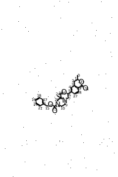 CC1Cc2cc(C3CN4CCN(C(=O)OCc5ccccc5)CC4(C)CO3)ccc2C(=O)O1